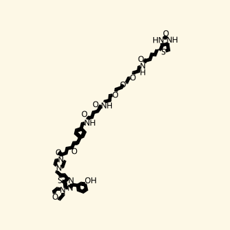 O=C(/C=C/c1ccc(CNC(=O)CCCC(=O)NCCCOCCOCCOCCCNC(=O)CCCC[C@@H]2SCC3NC(=O)NC32)cc1)CCC(=O)N1CCN(Cc2cc3nc(-c4cccc(O)c4)nc(N4CCOCC4)c3s2)CC1